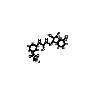 CN1C(=O)C(=NNC(=S)Nc2cccc(S(N)(=O)=O)c2)c2cccc(Cl)c21